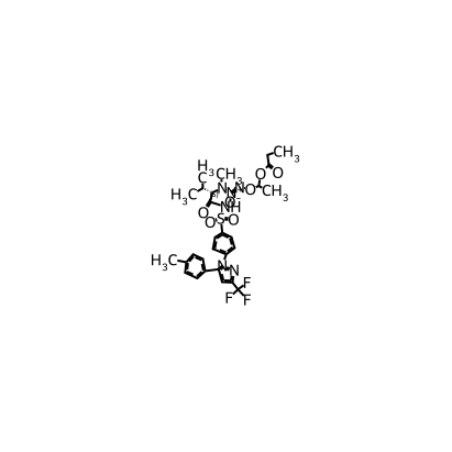 CCC(=O)OC(C)ON=[N+]([O-])N(C)[C@H](C(=O)NS(=O)(=O)c1ccc(-n2nc(C(F)(F)F)cc2-c2ccc(C)cc2)cc1)C(C)C